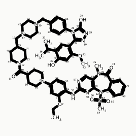 CCOc1cc(N2CCC(C(=O)N3CCC(CN4CCN(Cc5ccc(-n6c(O)nnc6-c6cc(C(C)C)c(O)cc6OC)cc5)CC4)CC3)CC2)ccc1Nc1ncc2c(n1)N(S(C)(=O)=O)c1ccccc1C(=O)N2C